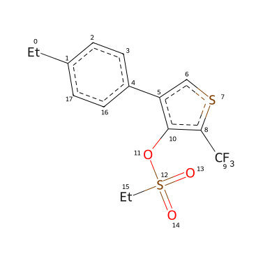 CCc1ccc(-c2csc(C(F)(F)F)c2OS(=O)(=O)CC)cc1